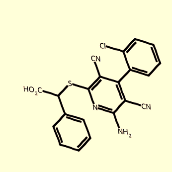 N#Cc1c(N)nc(SC(C(=O)O)c2ccccc2)c(C#N)c1-c1ccccc1Cl